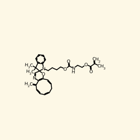 C=C(C)C(=O)OCCNC(=O)OCCCCN1c2ccccc2C(C)(C)C12C=NC1=C(/C=C\C/C=C\C=C/C1=C)O2